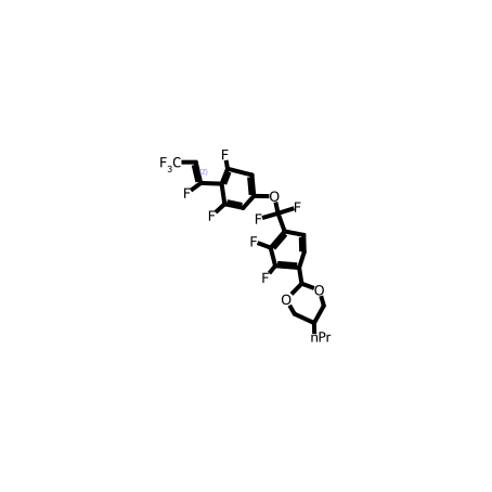 CCCC1COC(c2ccc(C(F)(F)Oc3cc(F)c(/C(F)=C/C(F)(F)F)c(F)c3)c(F)c2F)OC1